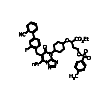 CCCc1c(Cc2ccc(-c3ccccc3C#N)cc2F)c(=O)n(C2CCC(OC(CCOS(=O)(=O)c3ccc(C)cc3)C(=O)OCC)CC2)c2ncnn12